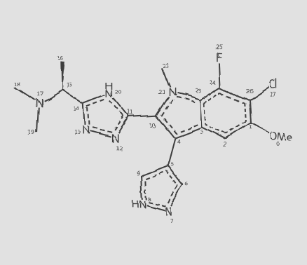 COc1cc2c(-c3cn[nH]c3)c(-c3nnc([C@H](C)N(C)C)[nH]3)n(C)c2c(F)c1Cl